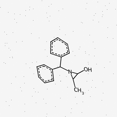 CC1C(O)N1C(c1ccccc1)c1ccccc1